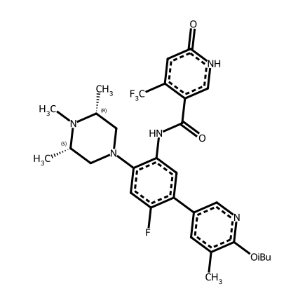 Cc1cc(-c2cc(NC(=O)c3c[nH]c(=O)cc3C(F)(F)F)c(N3C[C@@H](C)N(C)[C@@H](C)C3)cc2F)cnc1OCC(C)C